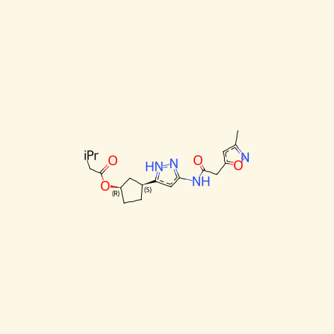 Cc1cc(CC(=O)Nc2cc([C@H]3CC[C@@H](OC(=O)CC(C)C)C3)[nH]n2)on1